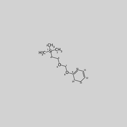 C[Si](C)(C)CCOCOC1=CC=CC[CH]1